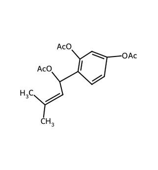 CC(=O)Oc1ccc(C(C=C(C)C)OC(C)=O)c(OC(C)=O)c1